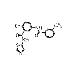 O=C(Nc1ccc(Cl)c(C(=O)Nc2cncs2)c1)c1cccc(C(F)(F)F)c1